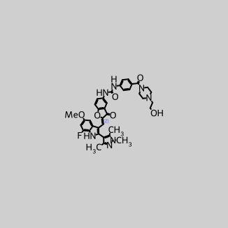 COc1cc(F)c2[nH]c(-c3c(C)nn(C)c3C)c(/C=C3\Oc4ccc(NC(=O)Nc5ccc(C(=O)N6CCN(CCO)CC6)cc5)cc4C3=O)c2c1